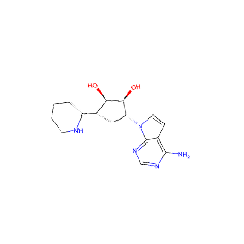 Nc1ncnc2c1ccn2[C@@H]1C[C@H]([C@H]2CCCCN2)[C@@H](O)[C@H]1O